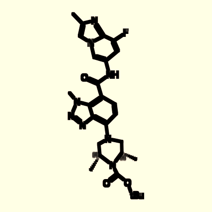 Cc1cn2cc(NC(=O)c3ccc(N4C[C@@H](C)N(C(=O)OC(C)(C)C)[C@@H](C)C4)c4nnn(C)c34)cc(F)c2n1